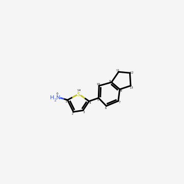 Nc1ccc(-c2ccc3c(c2)CCC3)s1